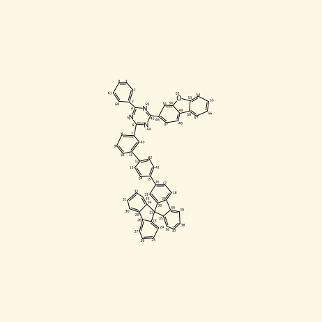 c1ccc(-c2nc(-c3cccc(-c4ccc(-c5ccc6c(c5)C5(c7ccccc7-c7ccccc75)c5ccccc5-6)cc4)c3)nc(-c3ccc4c(c3)oc3ccccc34)n2)cc1